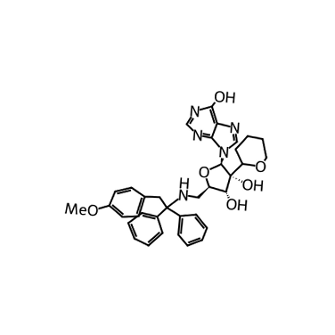 COc1ccc(CC(NC[C@H]2O[C@@H](n3cnc4c(O)ncnc43)[C@@](O)(C3CCCCO3)[C@@H]2O)(c2ccccc2)c2ccccc2)cc1